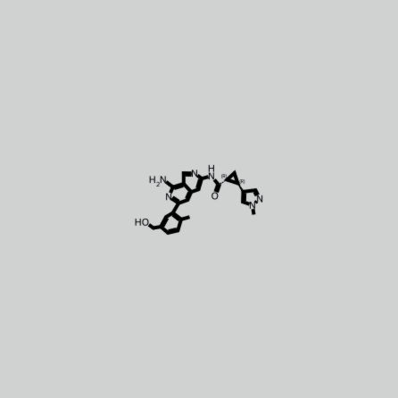 Cc1ccc(CO)cc1-c1cc2cc(NC(=O)[C@@H]3C[C@H]3c3cnn(C)c3)ncc2c(N)n1